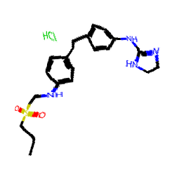 CCCS(=O)(=O)CNc1ccc(Cc2ccc(NC3=NCCN3)cc2)cc1.Cl